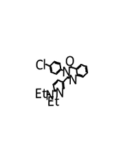 CCN(CC)c1ccc(-c2nc3ccccc3c(=O)n2-c2ccc(Cl)cc2)cn1